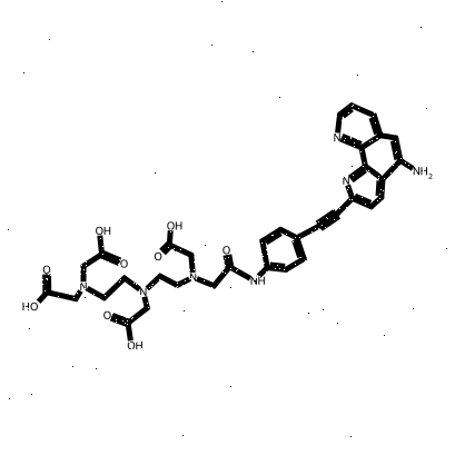 Nc1cc2cccnc2c2nc(C#Cc3ccc(NC(=O)CN(CCN(CCN(CC(=O)O)CC(=O)O)CC(=O)O)CC(=O)O)cc3)ccc12